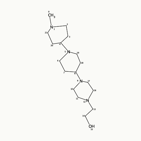 CN1CCC(N2CCC(N3CCN(CCO)CC3)CC2)CC1